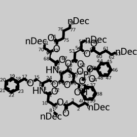 CCCCCCCCCCCCCC(=O)O[C@H](CCCCCCCCCCC)CC(=O)N[C@@H](COCc1ccccc1)CO[C@@H]1O[C@H](CO)[C@@H](OP(=O)(Oc2ccccc2)Oc2ccccc2)[C@H](OC(=O)C[C@@H](CCCCCCCCCCC)OC(=O)CCCCCCCCCCCCC)[C@H]1NC(=O)C[C@@H](CCCCCCCCCCC)OC(=O)CCCCCCCCCCCCC